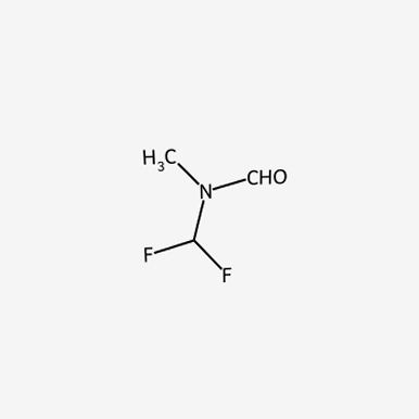 CN(C=O)C(F)F